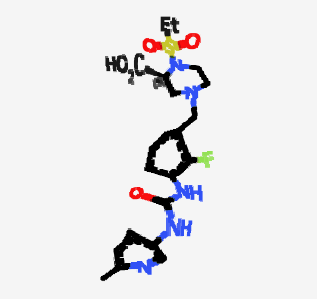 CCS(=O)(=O)N1CCN(Cc2cccc(NC(=O)Nc3ccc(C)nc3)c2F)C[C@H]1C(=O)O